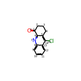 O=C1CCCc2c1nc1ccccc1c2Cl